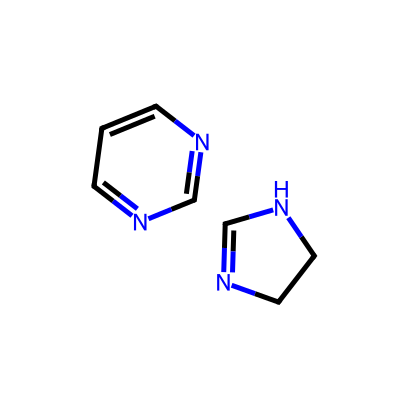 C1=NCCN1.c1cncnc1